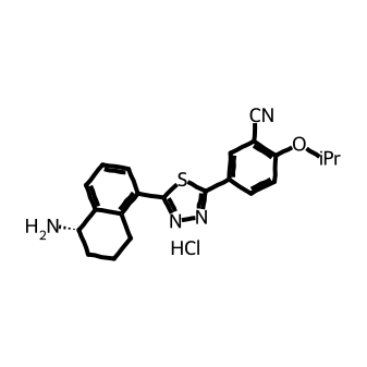 CC(C)Oc1ccc(-c2nnc(-c3cccc4c3CCC[C@@H]4N)s2)cc1C#N.Cl